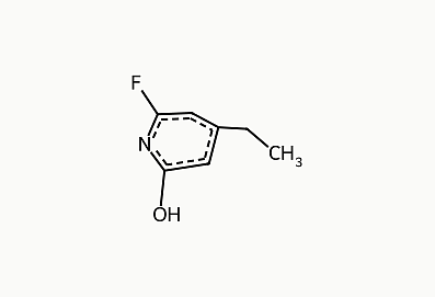 CCc1cc(O)nc(F)c1